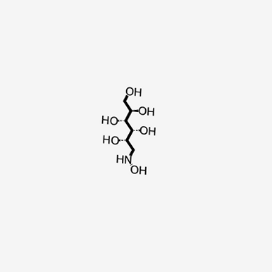 OC[C@@H](O)[C@@H](O)[C@H](O)[C@@H](O)CNO